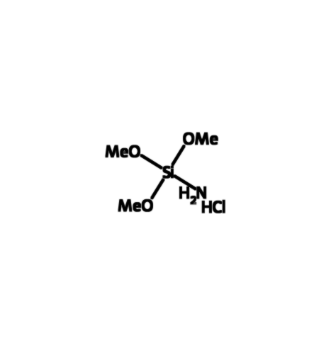 CO[Si](N)(OC)OC.Cl